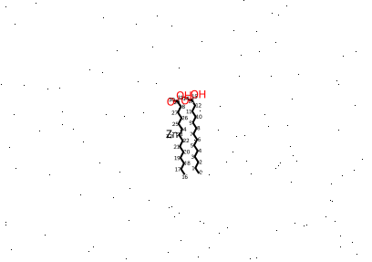 CCCCCCCCCCCCCC(=O)O.CCCCCCCCCCCCCC(=O)O.[Zn]